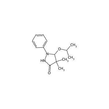 CC(C)OC1N(c2ccccc2)NC(=O)C1(C)C